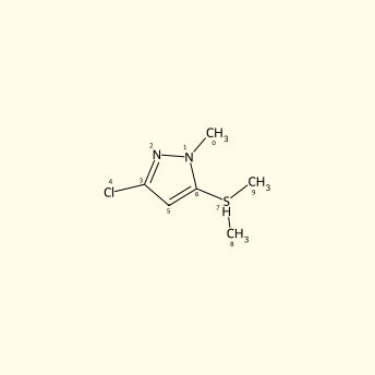 Cn1nc(Cl)cc1[SH](C)C